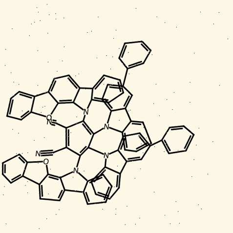 N#Cc1c(C#N)c(-n2c3ccccc3c3ccc4c5ccccc5oc4c32)c(-n2c3ccccc3c3cc(-c4ccccc4)ccc32)c(-n2c3ccccc3c3cc(-c4ccccc4)ccc32)c1-n1c2ccccc2c2ccc3c4ccccc4oc3c21